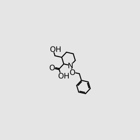 O=C(O)C1C(CO)CCCN1OCc1ccccc1